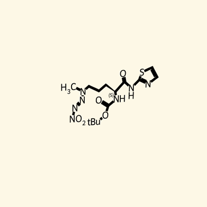 CN(CCC[C@H](NC(=O)OC(C)(C)C)C(=O)Nc1nccs1)N=N[N+](=O)[O-]